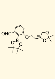 CC1(C)OC[C@H](CCOc2cccc(C=O)c2B2OC(C)(C)C(C)(C)O2)O1